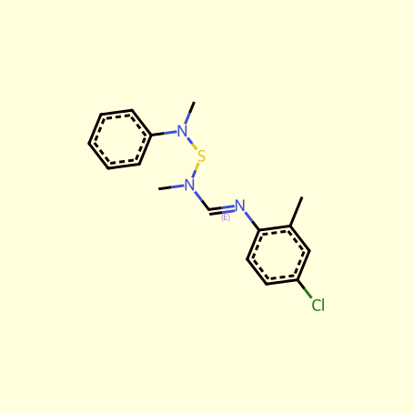 Cc1cc(Cl)ccc1/N=C/N(C)SN(C)c1ccccc1